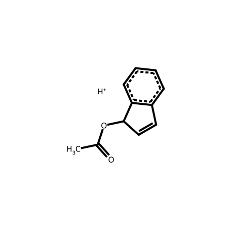 CC(=O)OC1C=Cc2ccccc21.[H+]